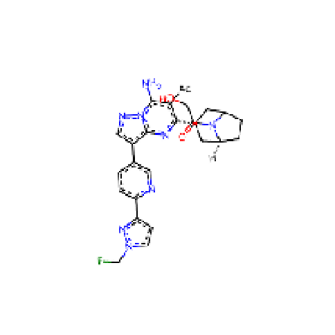 CC(=O)c1c([C@@H]2CC3CC[C@@H](C2)N3C(=O)CO)nc2c(-c3ccc(-c4ccn(CF)n4)nc3)cnn2c1N